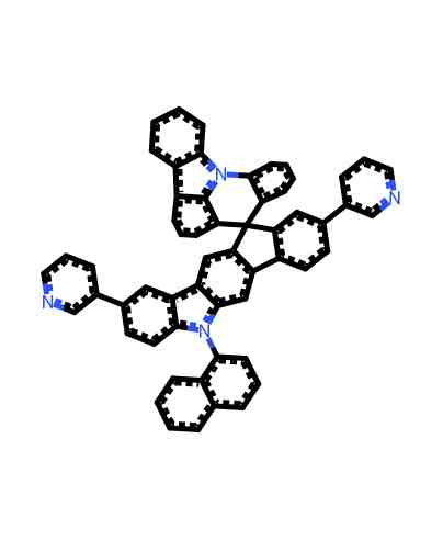 c1cncc(-c2ccc3c(c2)C2(c4cc5c6cc(-c7cccnc7)ccc6n(-c6cccc7ccccc67)c5cc4-3)c3ccccc3-n3c4ccccc4c4cccc2c43)c1